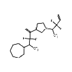 C=CC(F)(F)C(N1CCC(C(=C)C(F)(F)C(N2CCCCCC2)C(F)(F)F)C1)C(F)(F)F